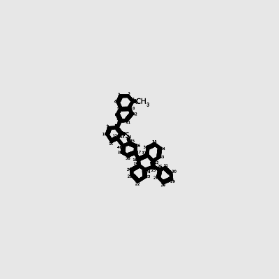 CC1CC=Cc2cc(-c3cccc4c3sc3cc(-c5c6ccccc6c(-c6ccccc6)c6ccccc56)ccc34)ccc21